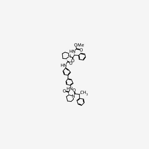 COC(=O)N[C@@H](C(=O)N1CCCC[C@H]1C(=O)Nc1ccc(-c2ccc(NC(=O)[C@@H]3CCCCN3C(=O)[C@H](C)c3ccccc3)cc2)cc1)c1ccccc1